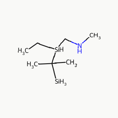 CC[SiH](CNC)C(C)(C)[SiH3]